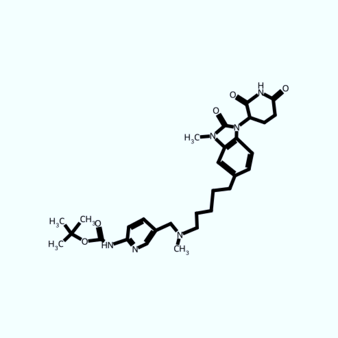 CN(CCCCCc1ccc2c(c1)n(C)c(=O)n2C1CCC(=O)NC1=O)Cc1ccc(NC(=O)OC(C)(C)C)nc1